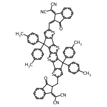 Cc1ccc(C2(c3ccc(C)cc3)c3cc(/C=C4\C(=O)c5ccccc5C4=C(C#N)C#N)sc3-c3sc4c5c(sc4c32)-c2sc(CC3C(=O)c4ccccc4C3=C(C#N)C#N)cc2C5(c2ccc(C)cc2)c2ccc(C)cc2)cc1